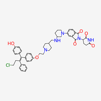 O=C1CCC(N2C(=O)c3ccc(N4CCCC(NCC5CCN(CCOc6ccc(C(=C(CCCl)c7ccccc7)c7ccc(O)cc7)cc6)CC5)C4)cc3C2=O)C(=O)N1